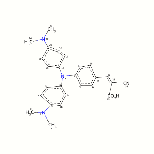 CN(C)c1ccc(N(c2ccc(C=C(C#N)C(=O)O)cc2)c2ccc(N(C)C)cc2)cc1